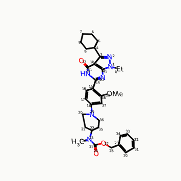 CCn1nc(C2CCCCC2)c2c(=O)[nH]c(-c3ccc(N4CCC(N(C)C(=O)OCc5ccccc5)CC4)cc3OC)nc21